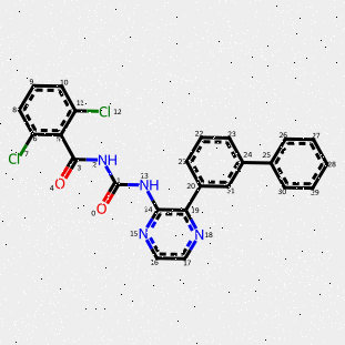 O=C(NC(=O)c1c(Cl)cccc1Cl)Nc1nccnc1-c1cccc(-c2ccccc2)c1